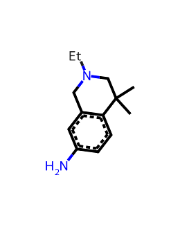 CCN1Cc2cc(N)ccc2C(C)(C)C1